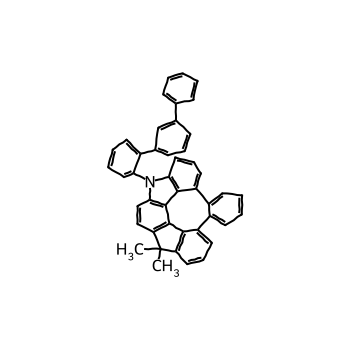 CC1(C)c2cccc3c4ccccc4c4cccc5c4c4c(c1ccc4n5-c1ccccc1-c1cccc(-c4ccccc4)c1)c23